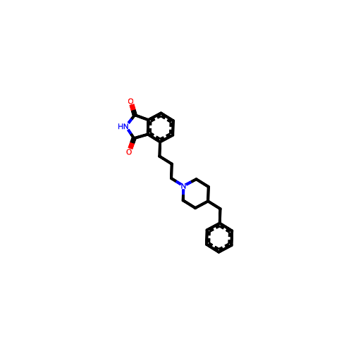 O=C1NC(=O)c2c(CCCN3CCC(Cc4ccccc4)CC3)cccc21